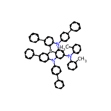 Cc1ccccc1N(c1cc2c3c(c1)N(c1ccc(-c4ccccc4)cc1)c1ccc(-c4ccccc4)cc1B3c1cc(-c3ccccc3)ccc1N2c1ccc(-c2ccccc2)cc1)c1ccccc1C